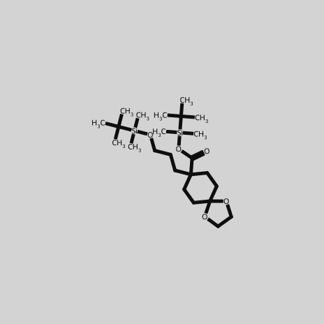 CC(C)(C)[Si](C)(C)OCCCC1(C(=O)O[Si](C)(C)C(C)(C)C)CCC2(CC1)OCCO2